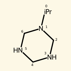 CC(C)N1CNCNC1